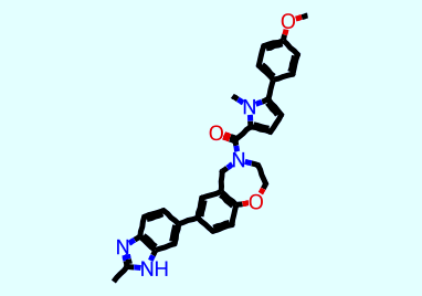 COc1ccc(-c2ccc(C(=O)N3CCOc4ccc(-c5ccc6nc(C)[nH]c6c5)cc4C3)n2C)cc1